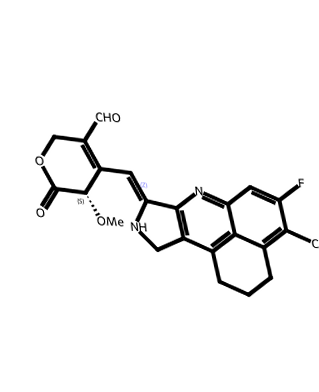 CO[C@@H]1C(=O)OCC(C=O)=C1/C=C1\NCc2c1nc1cc(F)c(C)c3c1c2CCC3